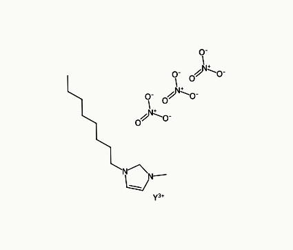 CCCCCCCCN1C=CN(C)C1.O=[N+]([O-])[O-].O=[N+]([O-])[O-].O=[N+]([O-])[O-].[Y+3]